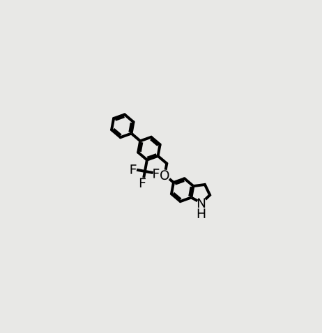 FC(F)(F)c1cc(-c2ccccc2)ccc1COc1ccc2c(c1)CCN2